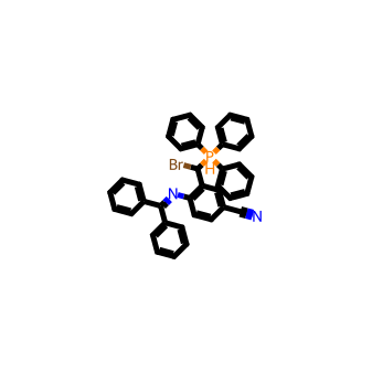 N#Cc1ccc(N=C(c2ccccc2)c2ccccc2)c(C(Br)[PH](c2ccccc2)(c2ccccc2)c2ccccc2)c1